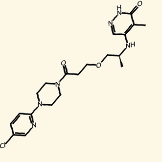 Cc1c(N[C@@H](C)COCCC(=O)N2CCN(c3ccc(Cl)cn3)CC2)cn[nH]c1=O